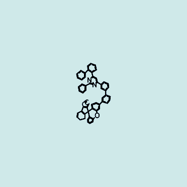 C1=CC2=C(CC1)C1(c3ccccc3Oc3cc(-c4cccc(-c5cccc(-c6cc(-c7ccccc7-c7ccccc7)nc(-c7ccccc7)n6)c5)c4)ccc31)c1ccccc12